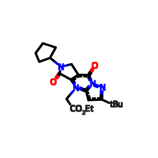 CCOC(=O)Cn1c2c(c(=O)n3nc(C(C)(C)C)cc13)CN(C1CCCC1)C2=O